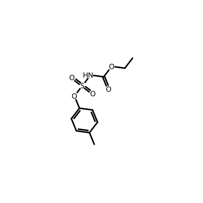 CCOC(=O)NS(=O)(=O)Oc1ccc(C)cc1